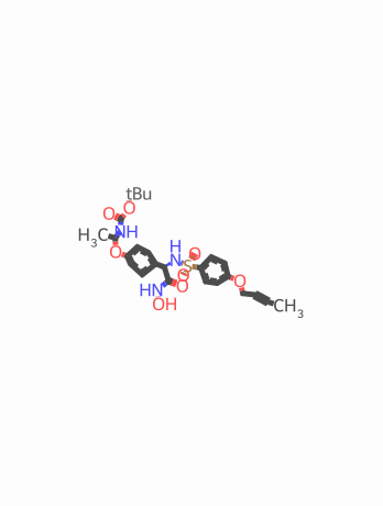 CC#CCOc1ccc(S(=O)(=O)N[C@@H](C(=O)NO)c2ccc(OC(C)NC(=O)OC(C)(C)C)cc2)cc1